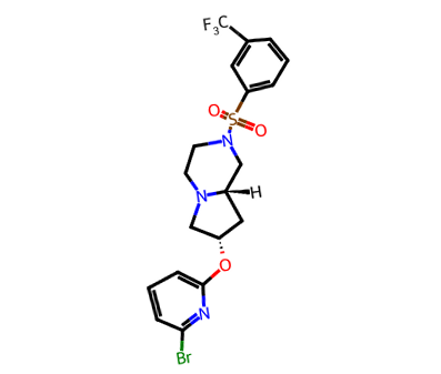 O=S(=O)(c1cccc(C(F)(F)F)c1)N1CCN2C[C@@H](Oc3cccc(Br)n3)C[C@H]2C1